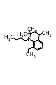 CCCCN1c2c(CC)cccc2C(C)CC1(C)C